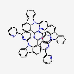 c1ccc(-c2cccc(-n3c4ccccc4c4cccc(-c5nc(-c6cccc7c8ccccc8n(-c8cccc(-c9ccccn9)n8)c67)nc(-c6cccc7c8ccccc8n(-c8cccc(-c9ccccn9)n8)c67)n5)c43)n2)nc1